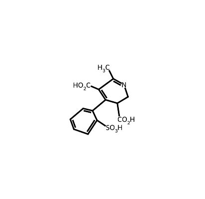 CC1=NCC(C(=O)O)C(c2ccccc2S(=O)(=O)O)=C1C(=O)O